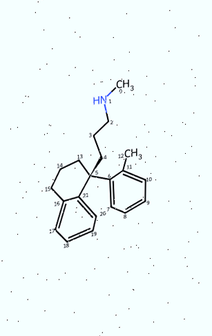 CNCCC[C@]1(c2ccccc2C)CCCc2ccccc21